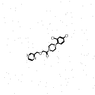 O=C(COCc1cnccn1)N1CCN(c2ccc(Cl)cc2Cl)CC1